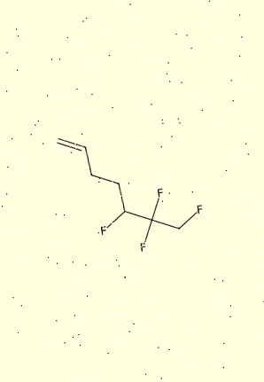 C=CCCC(F)C(F)(F)CF